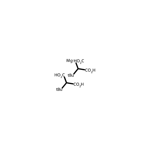 CC(C)(C)C(C(=O)O)C(=O)O.CC(C)(C)C(C(=O)O)C(=O)O.[Mg]